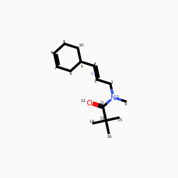 CN(C/C=C/C1CC=CCC1)C(=O)C(C)(C)C